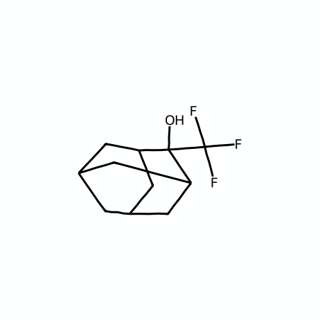 OC1(C(F)(F)F)C2CC3CC(C2)CC1C3